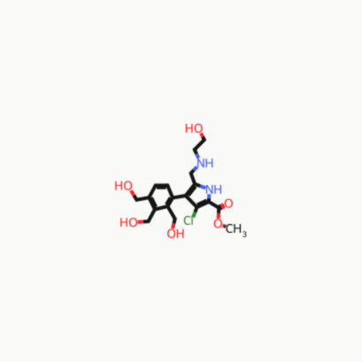 COC(=O)c1[nH]c(CNCCO)c(-c2ccc(CO)c(CO)c2CO)c1Cl